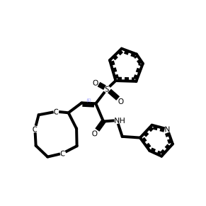 O=C(NCc1cccnc1)/C(=C\C1CCCCCCCC1)S(=O)(=O)c1ccccc1